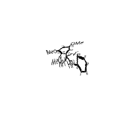 CCCC(CC)(Pc1ccccc1F)c1cc(OC)cc(OC)c1OC